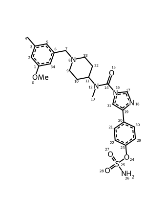 COc1cc(C)cc(CN2CCC(N(C)C(=O)n3cnc(-c4ccc(OS(N)(=O)=O)cc4)c3)CC2)c1